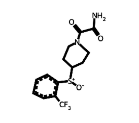 NC(=O)C(=O)N1CCC([S+]([O-])c2ccccc2C(F)(F)F)CC1